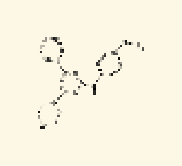 FC(F)(F)Oc1ccc(Nc2nc(-c3ccccc3)cc(N3CCOCC3)n2)cc1